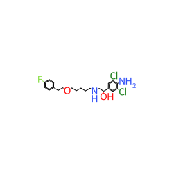 Nc1c(Cl)cc(C(O)CNCCCCCOCCc2ccc(F)cc2)cc1Cl